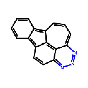 c1cc2c3ccccc3c3ccc4nnnc(c1)c4c3-2